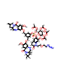 C=C1C[C@H]2C=Nc3cc(OCc4cc(COc5cc6c(cc5OC)C(=O)N5CC(C)(C)C[C@H]5C=N6)cc(OS(=O)(=O)Oc5cc(CCC(=O)NCCOCCN=[N+]=[N-])ccc5O[C@@H]5O[C@H](COC(C)=O)[C@H](OC(C)=O)[C@H](OC(C)=O)[C@H]5OC(C)=O)c4)c(OC)cc3C(=O)N2C1